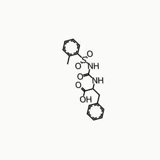 Cc1ccccc1S(=O)(=O)NC(=O)NC(Cc1ccccc1)C(=O)O